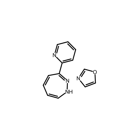 C1=CNN=C(c2ccccn2)C=C1.c1cocn1